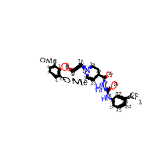 COc1cccc(OC)c1OCCN1CCC(C(=O)NC(=O)Nc2cccc(C(F)(F)F)c2)CC1